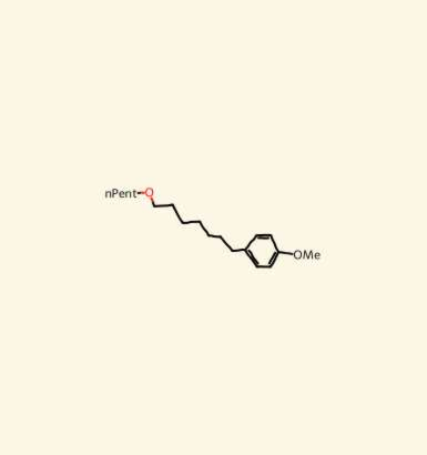 [CH2]CCCCOCCCCCCCc1ccc(OC)cc1